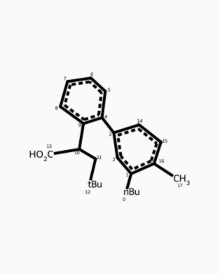 CCCCc1cc(-c2ccccc2C(CC(C)(C)C)C(=O)O)ccc1C